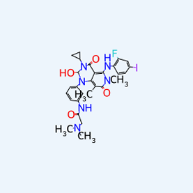 Cc1c2c(c(Nc3ccc(I)cc3F)n(C)c1=O)C(=O)N(C1CC1)C(O)N2c1cccc(NC(=O)CN(C)C)c1